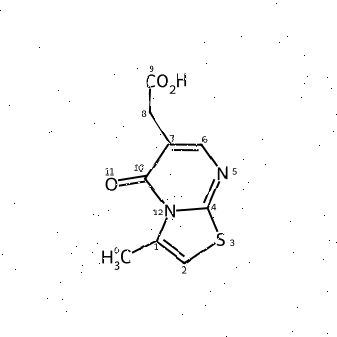 Cc1csc2ncc(CC(=O)O)c(=O)n12